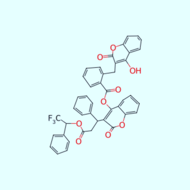 O=C(CC(c1ccccc1)c1c(OC(=O)c2ccccc2Cc2c(O)c3ccccc3oc2=O)c2ccccc2oc1=O)OC(c1ccccc1)C(F)(F)F